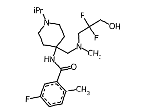 Cc1ccc(F)cc1C(=O)NC1(CN(C)CC(F)(F)CO)CCN(C(C)C)CC1